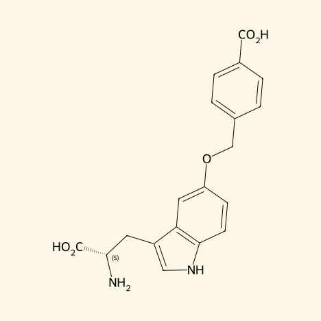 N[C@@H](Cc1c[nH]c2ccc(OCc3ccc(C(=O)O)cc3)cc12)C(=O)O